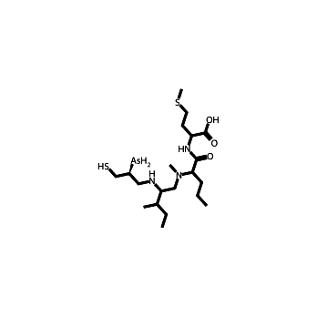 CCCC(C(=O)NC(CCSC)C(=O)O)N(C)CC(NC[C@H]([AsH2])CS)C(C)CC